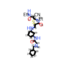 CCNC(=O)C(C#N)=c1sc(=CNc2cccc(NC(=O)CN(C)Cc3ccccc3)c2)c(=O)n1CC